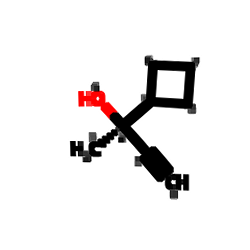 C#C[C@@](C)(O)C1CCC1